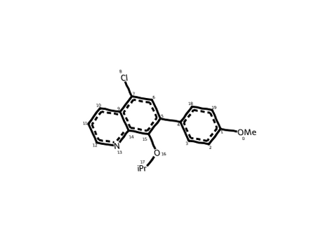 COc1ccc(-c2cc(Cl)c3cccnc3c2OC(C)C)cc1